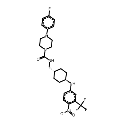 O=C(NC[C@H]1CC[C@H](Nc2ccc([N+](=O)[O-])c(C(F)(F)F)c2)CC1)N1CCN(c2ccc(F)cc2)CC1